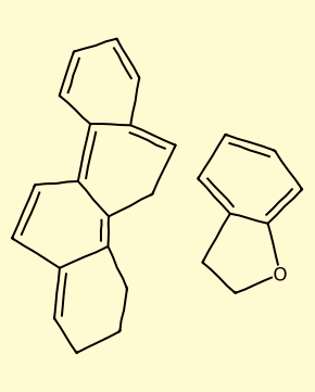 C1=c2ccc3c(c2CCC1)CC=c1ccccc1=3.c1ccc2c(c1)CCO2